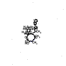 CC[C@H]1OC(=O)C[C@@H](O)[C@H](C)[C@@H](O[C@@H]2O[C@H](C)[C@@H](O)C(N(C)C)[C@@H]2O)[C@@H](CCN(C)Cc2cn(-c3ccc4ncccc4c3)nn2)C[C@@H](C)C(=O)/C=C/C(C)=C/[C@@H]1CO